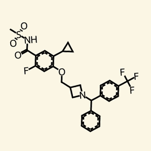 CS(=O)(=O)NC(=O)c1cc(C2CC2)c(OCC2CN(C(c3ccccc3)c3ccc(C(F)(F)F)cc3)C2)cc1F